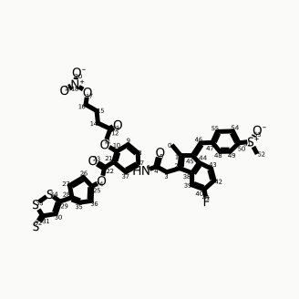 CC1=C(CC(=O)Nc2ccc(OC(=O)CCCO[N+](=O)[O-])c(C(=O)Oc3ccc(-c4cc(=S)ss4)cc3)c2)c2cc(F)ccc2/C1=C\c1ccc([S+](C)[O-])cc1